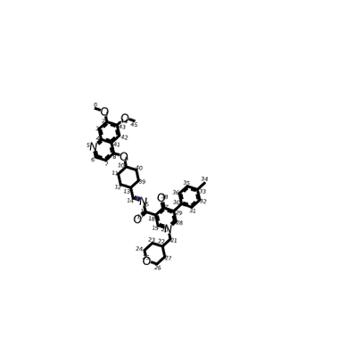 COc1cc2nccc(OC3CCC(/C=N/C(=O)c4cn(CC5CCOCC5)cc(-c5ccc(C)cc5)c4=O)CC3)c2cc1OC